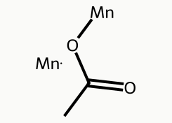 CC(=O)[O][Mn].[Mn]